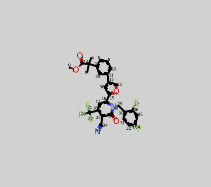 COC(=O)C(C)(C)c1cccc(-c2coc(-c3cc(C(F)(F)F)c(C#N)c(=O)n3Cc3ccc(F)cc3F)c2)c1